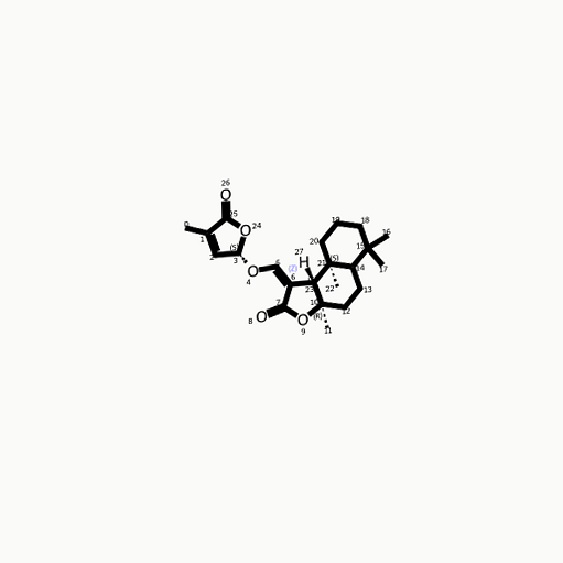 CC1=C[C@@H](O/C=C2\C(=O)O[C@]3(C)CCC4C(C)(C)CCC[C@]4(C)[C@@H]23)OC1=O